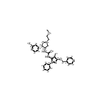 COCCN1C[C@@H](NC(=O)Nc2c(C)c(OCc3ccncc3)nn2-c2ccccc2)[C@H](c2ccnc(F)c2)O1